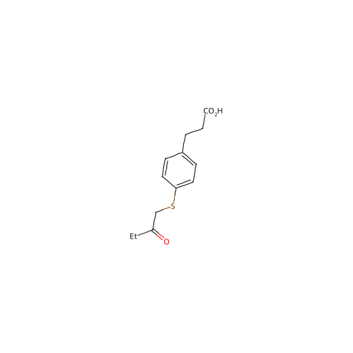 CCC(=O)CSc1ccc(CCC(=O)O)cc1